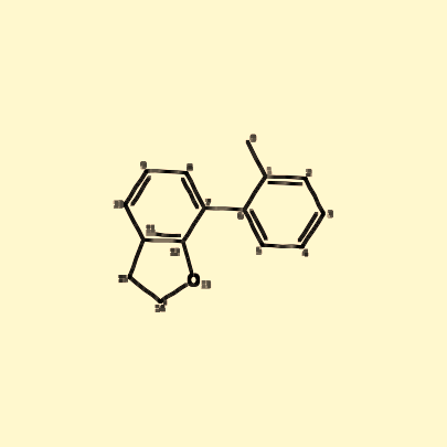 Cc1ccccc1-c1cccc2c1O[C]C2